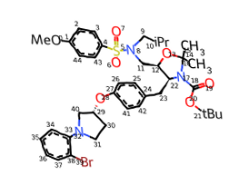 COc1ccc(S(=O)(=O)N(CC(C)C)C[C@H]2OC(C)(C)N(C(=O)OC(C)(C)C)[C@H]2Cc2ccc(O[C@@H]3CCN(c4ccccc4Br)C3)cc2)cc1